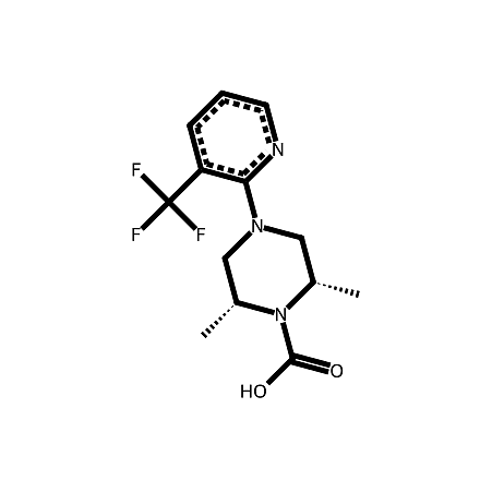 C[C@@H]1CN(c2ncccc2C(F)(F)F)C[C@H](C)N1C(=O)O